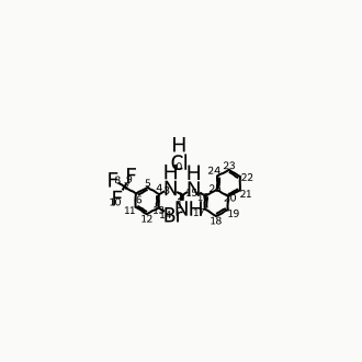 Cl.N=C(Nc1cc(C(F)(F)F)ccc1Br)Nc1cccc2ccccc12